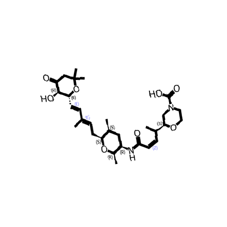 CC(/C=C/[C@H]1OC(C)(C)CC(=O)[C@@H]1O)=C\C[C@@H]1O[C@H](C)[C@H](NC(=O)/C=C\C(C)[C@H]2CN(C(=O)O)CCO2)C[C@@H]1C